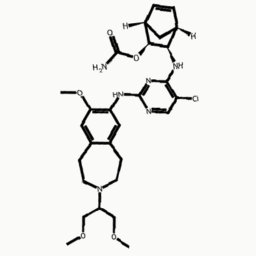 COCC(COC)N1CCc2cc(Nc3ncc(Cl)c(N[C@H]4[C@@H](OC(N)=O)[C@@H]5C=C[C@H]4C5)n3)c(OC)cc2CC1